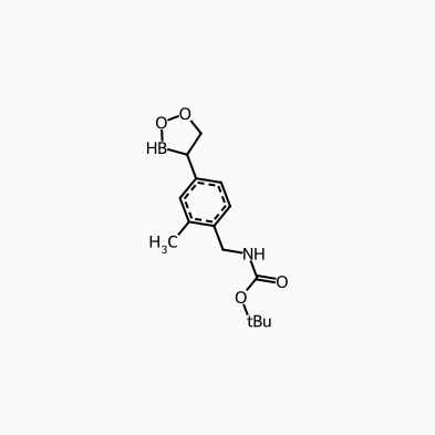 Cc1cc(C2BOOC2)ccc1CNC(=O)OC(C)(C)C